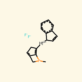 CP1CC2=CC[C]([Hf+2][CH]3C=Cc4ccccc43)=C21.[F-].[F-]